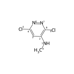 CNc1cc(Cl)nnc1Cl